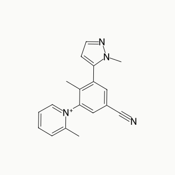 Cc1c(-c2ccnn2C)cc(C#N)cc1-[n+]1ccccc1C